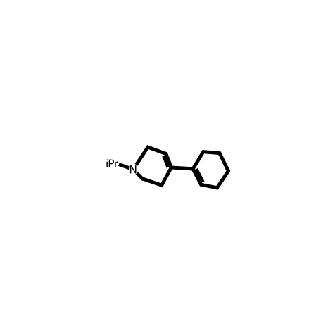 CC(C)N1CC=C(C2=CCCCC2)CC1